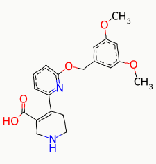 COc1cc(COc2cccc(C3=C(C(=O)O)CNCC3)n2)cc(OC)c1